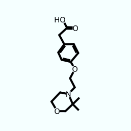 CC1(C)COCCN1CCOc1ccc(CC(=O)O)cc1